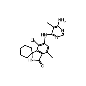 Cc1cc(Nc2ncnc(N)c2C)c(Cl)c2c1C(=O)NC21CCCCC1